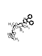 CCS(=O)(=O)NC(=O)COCC(C)(C)OCCN(c1cnc(-c2ccccc2)c(-c2ccccc2)n1)C(C)C